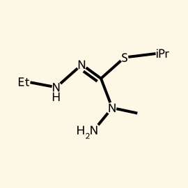 CCN/N=C(/SC(C)C)N(C)N